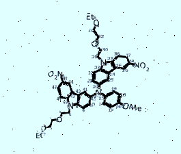 CCOCCOCCN1c2ccc(N(c3ccc(OC)cc3)c3ccc4c(c3)c3c(n4CCOCCOCC)CCC([N+](=O)[O-])=C3)cc2C2C=C([N+](=O)[O-])C=CC21